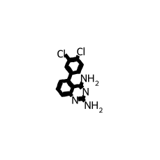 Nc1nc(N)c2c(-c3ccc(Cl)c(Cl)c3)cccc2n1